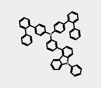 c1ccc(-c2ccccc2-c2ccc(N(c3ccc(-c4ccccc4-c4ccccc4)cc3)c3cccc(-c4cccc5c4c4ccccc4n5-c4ccccc4)c3)cc2)cc1